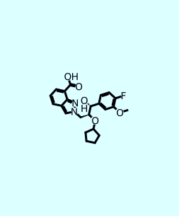 COc1cc([C@@H](O)[C@H](Cn2cc3cccc(C(=O)O)c3n2)OC2CCCC2)ccc1F